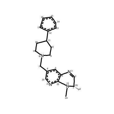 C[C@H]1C=Nc2cc(CN3CCC(c4ccccc4)CC3)cnc2N1C